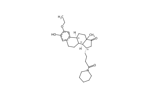 CCOc1cc2c(cc1O)CCC1[C@@H]2CCC2(C)C(=O)C[C@H](CCCC(=O)N3CCCCC3)[C@@H]12